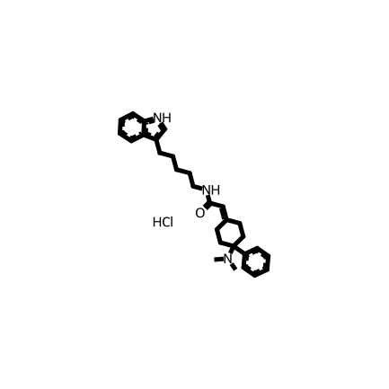 CN(C)C1(c2ccccc2)CCC(=CC(=O)NCCCCCc2c[nH]c3ccccc23)CC1.Cl